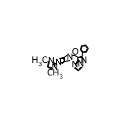 Cc1cc(C)nc(-n2cc3c(c2)CN(C(=O)c2c(-c4ccccc4)nn4cccnc24)C3)n1